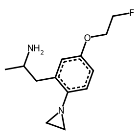 CC(N)Cc1cc(OCCF)ccc1N1CC1